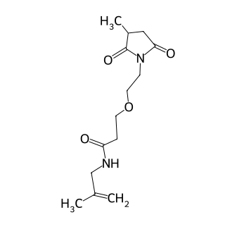 C=C(C)CNC(=O)CCOCCN1C(=O)CC(C)C1=O